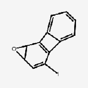 IC1=CC2OC2C2=C1c1ccccc12